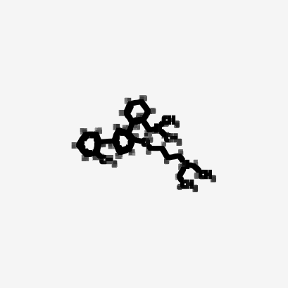 CCN(CC)CCCCOc1ccc(-c2ccccc2C)cc1C1=C(CN(C)C)[CH]CC=C1